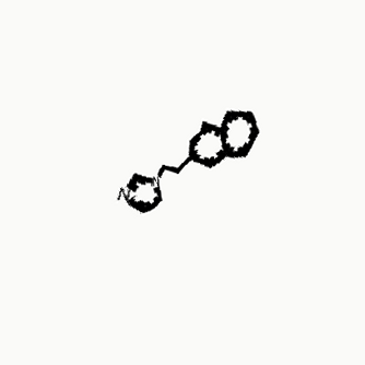 c1ccc2cc(CCn3ccnc3)ccc2c1